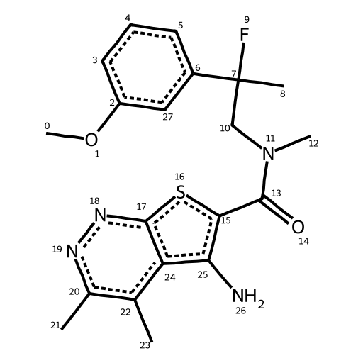 COc1cccc(C(C)(F)CN(C)C(=O)c2sc3nnc(C)c(C)c3c2N)c1